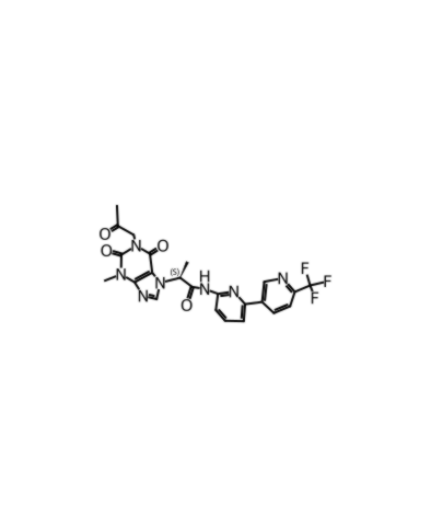 CC(=O)Cn1c(=O)c2c(ncn2[C@@H](C)C(=O)Nc2cccc(-c3ccc(C(F)(F)F)nc3)n2)n(C)c1=O